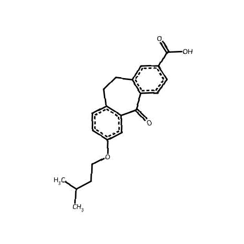 CC(C)CCOc1ccc2c(c1)C(=O)c1ccc(C(=O)O)cc1CC2